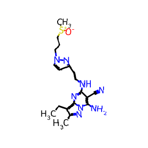 CCc1c(C)nn2c(N)c(C#N)c(NCCc3ccn(CCC[S+](C)[O-])n3)nc12